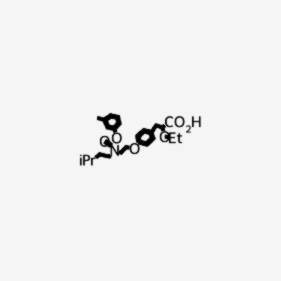 CCOC(Cc1ccc(OCCN(CCC(C)C)C(=O)Oc2cccc(C)c2)cc1)C(=O)O